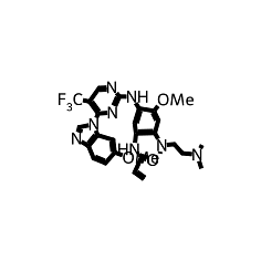 C=CC(=O)Nc1cc(Nc2ncc(C(F)(F)F)c(-n3cnc4ccc(OC)cc43)n2)c(OC)cc1N(C)CCN(C)C